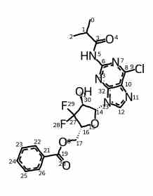 CC(C)C(=O)Nc1nc(Cl)c2ncn([C@@H]3O[C@H](COC(=O)c4ccccc4)C(F)(F)[C@H]3O)c2n1